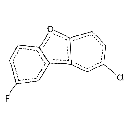 Fc1ccc2oc3ccc(Cl)cc3c2c1